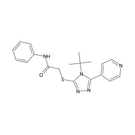 CC(C)(C)n1c(SCC(=O)Nc2ccccc2)nnc1-c1ccncc1